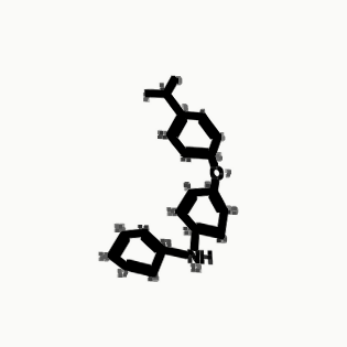 CC(C)c1ccc(Oc2ccc(Nc3ccccc3)cc2)cc1